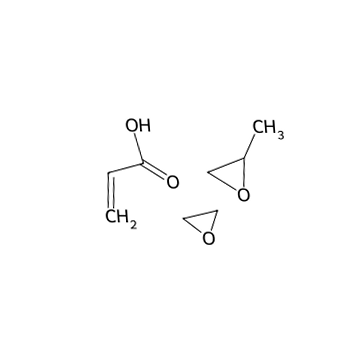 C1CO1.C=CC(=O)O.CC1CO1